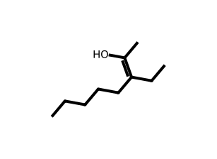 CCCCCC(CC)=C(C)O